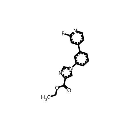 CCOC(=O)c1cn(-c2cccc(-c3ccnc(F)c3)c2)cn1